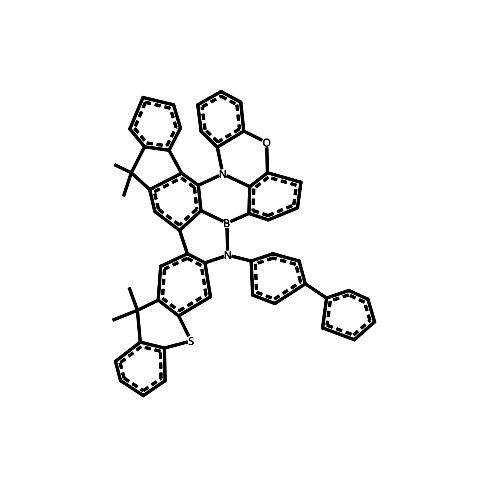 CC1(C)c2ccccc2Sc2cc3c(cc21)-c1cc2c(c4c1B(c1cccc5c1N4c1ccccc1O5)N3c1ccc(-c3ccccc3)cc1)-c1ccccc1C2(C)C